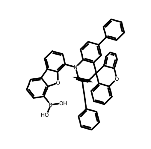 OB(O)c1cccc2c1oc1c(N3c4ccc(-c5ccccc5)cc4C4(c5ccccc5Oc5ccccc54)c4cc(-c5ccccc5)ccc43)cccc12